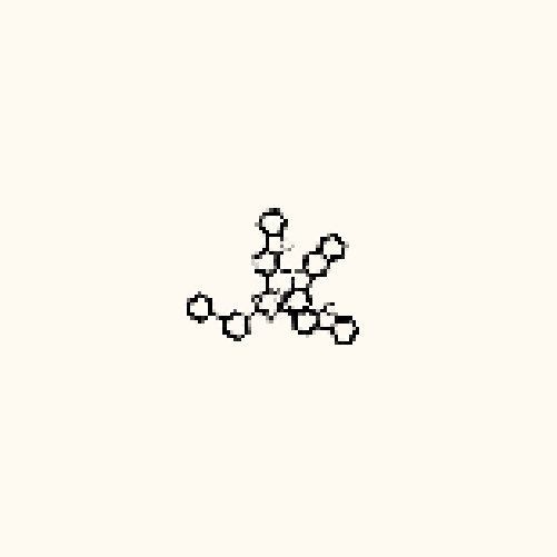 c1ccc(-c2cccc(-c3nc(-c4ccc5c(c4)oc4ccccc45)nc(-c4ccc5c(oc6ccccc65)c4-n4c5ccccc5c5cc6ccccc6cc54)n3)c2)cc1